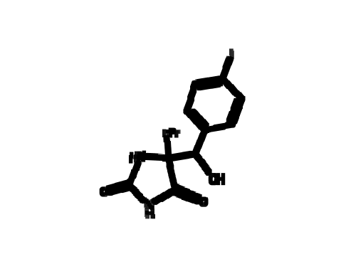 CCCC1(C(O)c2ccc(I)cc2)NC(=O)NC1=O